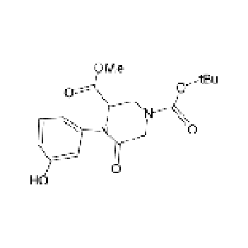 COC(=O)C1CN(C(=O)OC(C)(C)C)CC(=O)N1c1cccc(O)c1